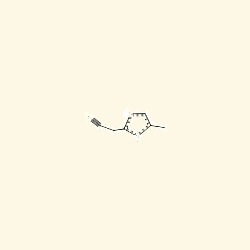 Cc1c[nH]c(CC#N)n1